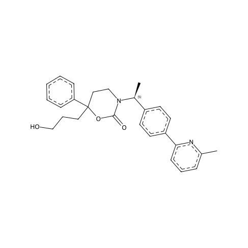 Cc1cccc(-c2ccc([C@H](C)N3CCC(CCCO)(c4ccccc4)OC3=O)cc2)n1